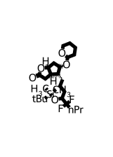 CCCC(F)(F)C(CCC[C@@H]1[C@H]2CC(=O)O[C@H]2C[C@H]1OC1CCCCO1)O[Si](C)(C)C(C)(C)C